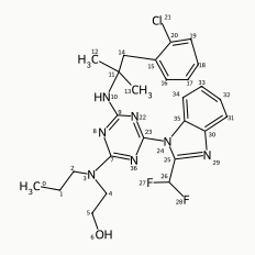 CCCN(CCO)c1nc(NC(C)(C)Cc2ccccc2Cl)nc(-n2c(C(F)F)nc3ccccc32)n1